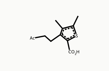 CC(=O)CCc1c(C(=O)O)sc(C)c1C